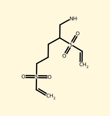 C=CS(=O)(=O)CCCC(C[NH])S(=O)(=O)C=C